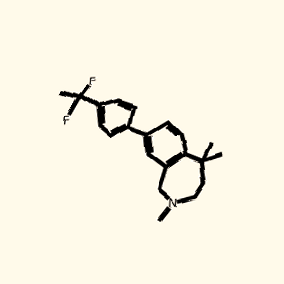 CN1CCC(C)(C)c2ccc(-c3ccc(C(C)(F)F)cc3)cc2C1